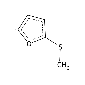 CSc1cc[c]o1